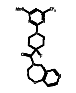 COc1cc(C(F)(F)F)nc(N2CCC(F)(C(=O)N3CCOc4ccncc4C3)CC2)n1